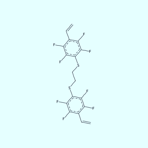 C=Cc1c(F)c(F)c(SCCSc2c(F)c(F)c(C=C)c(F)c2F)c(F)c1F